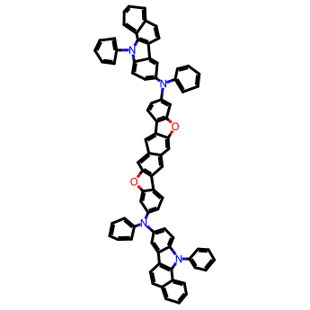 c1ccc(N(c2ccc3c(c2)oc2cc4cc5c(cc4cc23)oc2cc(N(c3ccccc3)c3ccc4c(c3)c3ccc6ccccc6c3n4-c3ccccc3)ccc25)c2ccc3c(c2)c2ccc4ccccc4c2n3-c2ccccc2)cc1